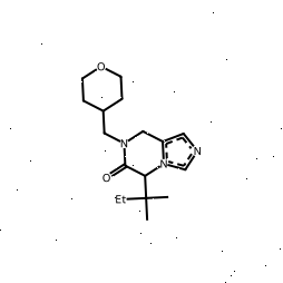 CCC(C)(C)C1C(=O)N(CC2CCOCC2)Cc2cncn21